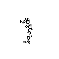 Cc1ccc(NC(=O)/C(C#N)=C/c2ccc(-c3ccc(C(=O)O)cc3F)o2)cc1C